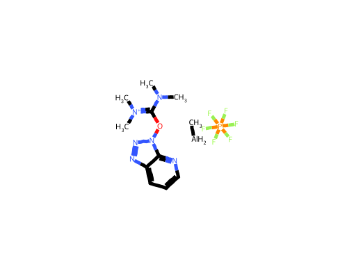 CN(C)C(On1nnc2cccnc21)=[N+](C)C.F[P-](F)(F)(F)(F)F.[CH3][AlH2]